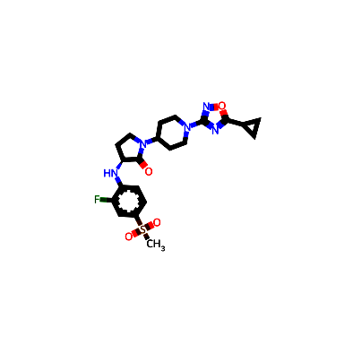 CS(=O)(=O)c1ccc(N[C@H]2CCN(C3CCN(c4noc(C5CC5)n4)CC3)C2=O)c(F)c1